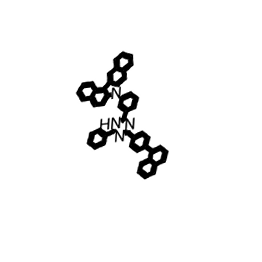 c1ccc(C2N=C(c3ccc(-c4cccc5ccccc45)cc3)N=C(c3cccc(-n4c5cc6ccccc6cc5c5c6ccccc6ccc54)c3)N2)cc1